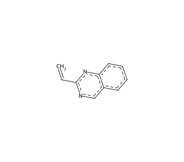 C=[C]c1ncc2ccccc2n1